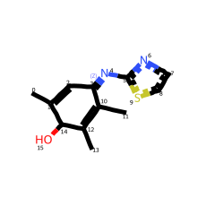 CC1=C/C(=N/c2nccs2)C(C)=C(C)C1O